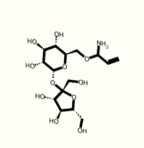 C=CC(N)OC[C@H]1O[C@H](O[C@]2(CO)O[C@H](CO)[C@@H](O)[C@@H]2O)[C@H](O)[C@@H](O)[C@@H]1O